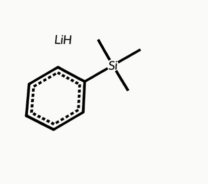 C[Si](C)(C)c1ccccc1.[LiH]